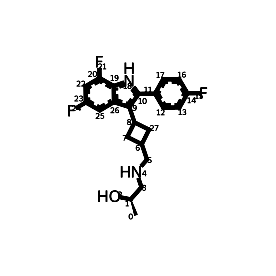 C[C@@H](O)CNCC1CC(c2c(-c3ccc(F)cc3)[nH]c3c(F)cc(F)cc23)C1